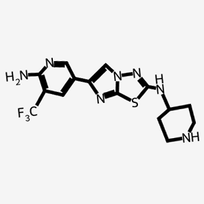 Nc1ncc(-c2cn3nc(NC4CCNCC4)sc3n2)cc1C(F)(F)F